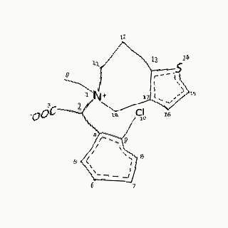 C[N+]1(C(C(=O)[O-])c2ccccc2Cl)CCc2sccc2C1